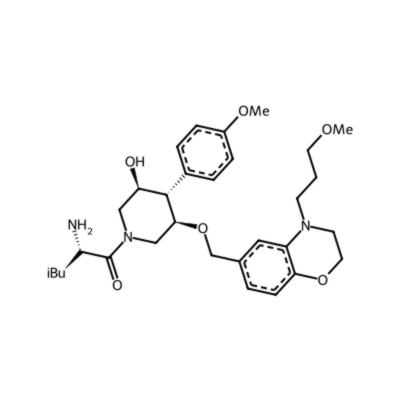 CC[C@H](C)[C@H](N)C(=O)N1C[C@@H](O)[C@H](c2ccc(OC)cc2)[C@@H](OCc2ccc3c(c2)N(CCCOC)CCO3)C1